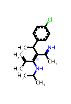 C=C(C)/C(NC(C)C)=C(/C(C)=N)C(C)c1ccc(Cl)cc1